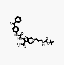 CC(C)(C)OC(=O)NCCCN1CCc2c(sc(NC(=O)Nc3ccc(C(=O)c4ccccc4)cc3)c2C(N)=O)C1